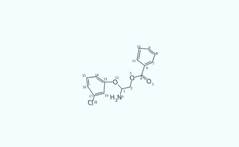 NC(COC(=O)c1ccccc1)Oc1cccc(Cl)c1